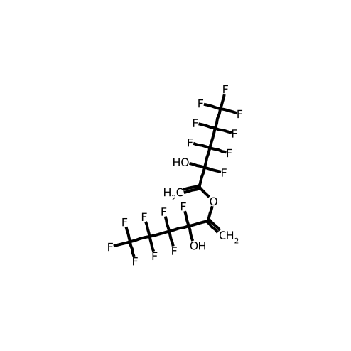 C=C(OC(=C)C(O)(F)C(F)(F)C(F)(F)C(F)(F)F)C(O)(F)C(F)(F)C(F)(F)C(F)(F)F